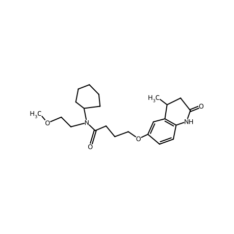 COCCN(C(=O)CCCOc1ccc2c(c1)C(C)CC(=O)N2)C1CCCCC1